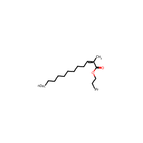 CCCCCCCCCCCCCCCCCCC=C(C)C(=O)OCCC(C)C